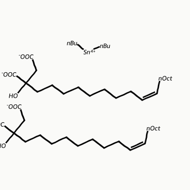 CCCCCCCC/C=C\CCCCCCCCC(O)(CC(=O)[O-])C(=O)[O-].CCCCCCCC/C=C\CCCCCCCCC(O)(CC(=O)[O-])C(=O)[O-].CCC[CH2][Sn+4][CH2]CCC